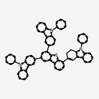 C1=C(c2cccc3c2sc2c(-c4ccc5c(c4)c4ccccc4n5-c4ccccc4)cc(-c4ccc5c(c4)c4ccccc4n5-c4ccccc4)cc23)CCc2c1c1ccccc1n2-c1ccccc1